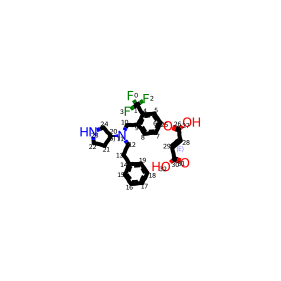 FC(F)(F)c1ccccc1CN(CCc1ccccc1)[C@H]1CCNC1.O=C(O)/C=C/C(=O)O